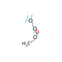 CCCCc1ccc(C(F)(F)Oc2ccc(CCc3cc(F)c(F)c(F)c3)cc2)cc1